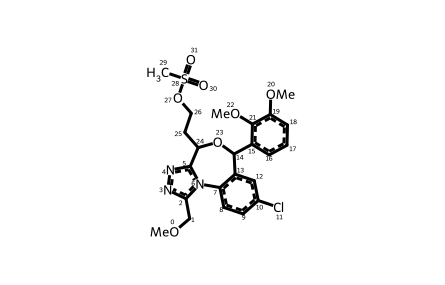 COCc1nnc2n1-c1ccc(Cl)cc1C(c1cccc(OC)c1OC)OC2CCOS(C)(=O)=O